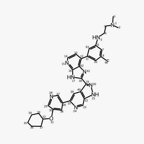 CN(C)CCNc1cc(F)cc(-c2ccnc3[nH]c(-c4n[nH]c5cnc(-c6cncc(OC7CCCCC7)c6)cc45)nc23)c1